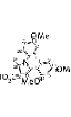 COc1ccc(-n2c(-c3ccc(OC)cc3OC)cc(C(=O)O)c2C)cc1